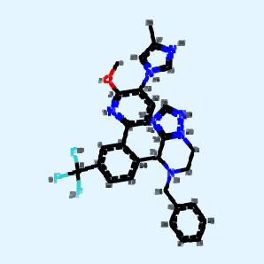 COc1nc(-c2cc(C(F)(F)F)ccc2C2c3ncnn3CCN2Cc2ccccc2)ccc1-n1cnc(C)c1